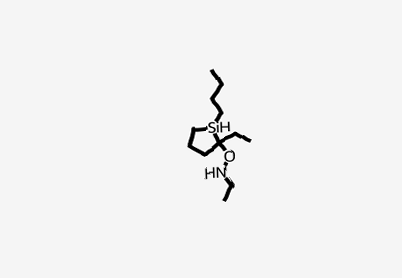 CCCC[SiH]1CCCC1(CC)ONCC